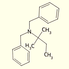 CCC(C)(C)N(Cc1ccccc1)Cc1ccccc1